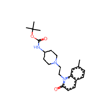 Cc1ccc2ccc(=O)n(CCN3CCC(NC(=O)OC(C)(C)C)CC3)c2c1